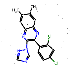 Cc1cc2nc(-c3ccc(Cl)cc3Cl)c(-n3cncn3)nc2cc1C